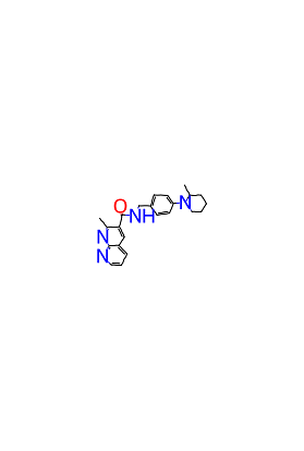 Cc1nc2ncccc2cc1C(=O)NCc1ccc(N2CCCCC2C)cc1